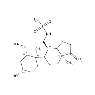 C=C1CCC2[C@H](CNS(C)(=O)=O)C([C@@]3(C)CC[C@H](O)C[C@@H]3CO)CC[C@]12C